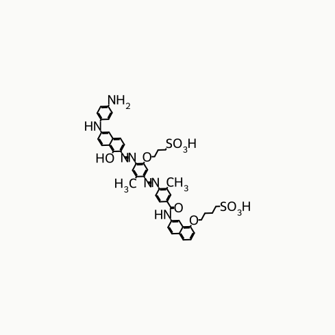 Cc1cc(C(=O)Nc2ccc3cccc(OCCCCS(=O)(=O)O)c3c2)ccc1N=Nc1cc(OCCCS(=O)(=O)O)c(N=Nc2ccc3cc(Nc4ccc(N)cc4)ccc3c2O)cc1C